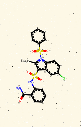 CCOC(=O)c1c(S(=O)(=O)Nc2ccccc2C(N)=O)c2cc(Cl)ccc2n1S(=O)(=O)c1ccccc1